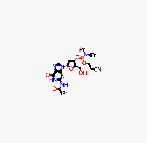 CC(C)C(=O)Nc1nc2c(ncn2[C@H]2C[C@@H](OP(OCCC#N)N(C(C)C)C(C)C)[C@@H](CO)O2)c(=O)[nH]1